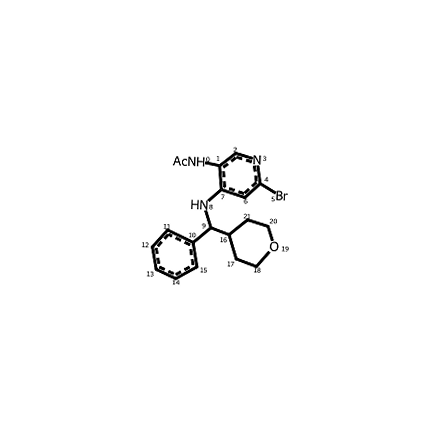 CC(=O)Nc1cnc(Br)cc1NC(c1ccccc1)C1CCOCC1